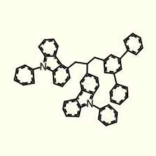 c1ccc(-c2cc(CC(Cc3cccc4c3c3ccccc3n4-c3ccccc3)c3ccc4c(c3)c3ccccc3n4-c3ccccc3)cc(-c3ccccc3)c2)cc1